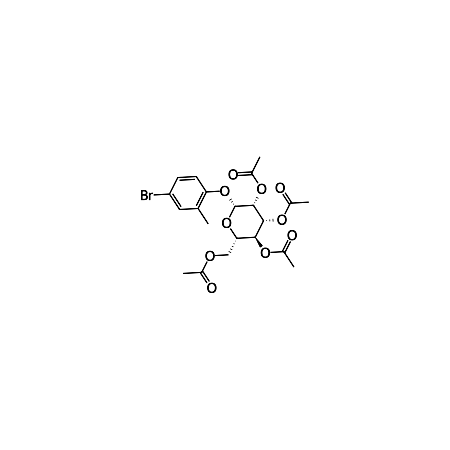 CC(=O)OC[C@@H]1O[C@H](Oc2ccc(Br)cc2C)[C@H](OC(C)=O)[C@H](OC(C)=O)[C@H]1OC(C)=O